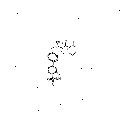 N[C@H](Cc1ccc(-c2ccc3c(c2)CNS3(=O)=O)cc1)NC(=O)[C@@H]1CCCCN1